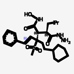 CC(C)C[C@@H](C(=O)NN)[C@@H](C(=O)NO)C(/C=C/c1ccccc1)(CCC1CCCCC1)S(C)(=O)=O